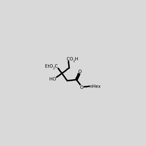 CCCCCCOC(=O)CC(O)(CC(=O)O)C(=O)OCC